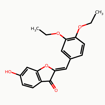 CCOc1ccc(/C=C2\Oc3cc(O)ccc3C2=O)cc1OCC